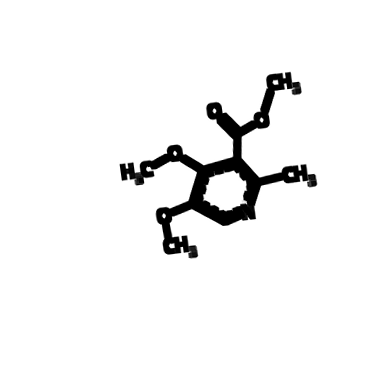 COC(=O)c1c(C)ncc(OC)c1OC